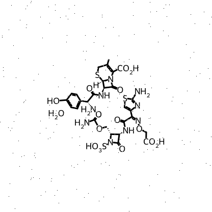 CC1=C(C(=O)O)N2C(=O)[C@@H](NC(=O)[C@H](N)c3ccc(O)cc3)[C@H]2SC1.NC(=O)OC[C@@H]1[C@H](NC(=O)/C(=N\OCC(=O)O)c2csc(N)n2)C(=O)N1S(=O)(=O)O.O